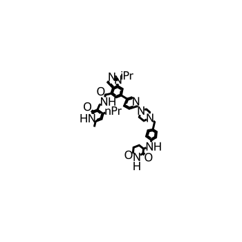 CCCc1cc(C)[nH]c(=O)c1CNC(=O)c1cc(-c2ccc(N3CCN(Cc4ccc(NC5CCC(=O)NC5=O)cc4)CC3)nc2)cc2c1cnn2C(C)C